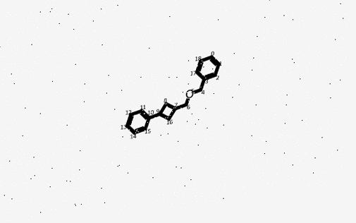 c1ccc(COCC2CC(c3ccccc3)C2)cc1